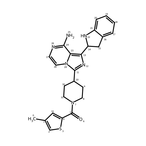 Cc1csc(C(=O)N2CCC(c3nc(C4Cc5ccccc5N4)c4c(N)nccn34)CC2)c1